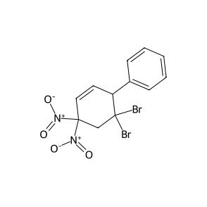 O=[N+]([O-])C1([N+](=O)[O-])C=CC(c2ccccc2)C(Br)(Br)C1